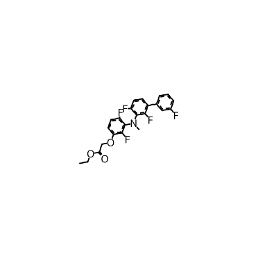 CCOC(=O)COc1ccc(F)c(N(C)c2c(F)ccc(-c3cccc(F)c3)c2F)c1F